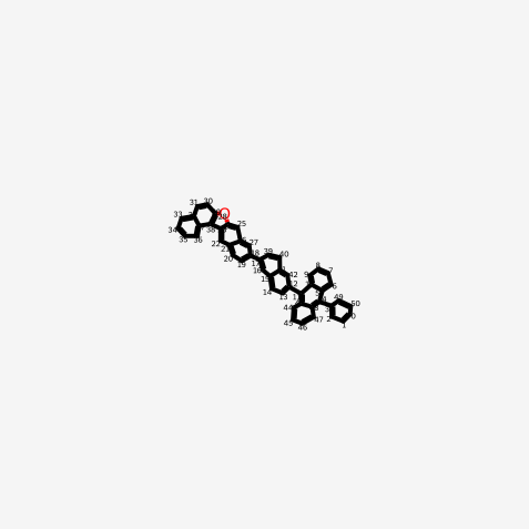 c1ccc(-c2c3ccccc3c(-c3ccc4cc(-c5ccc6cc7c(cc6c5)oc5ccc6ccccc6c57)ccc4c3)c3ccccc23)cc1